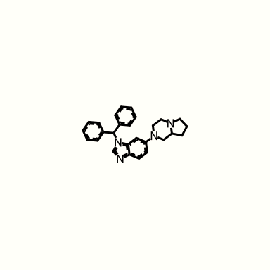 c1ccc(C(c2ccccc2)n2cnc3ccc(N4CCN5CCCC5C4)cc32)cc1